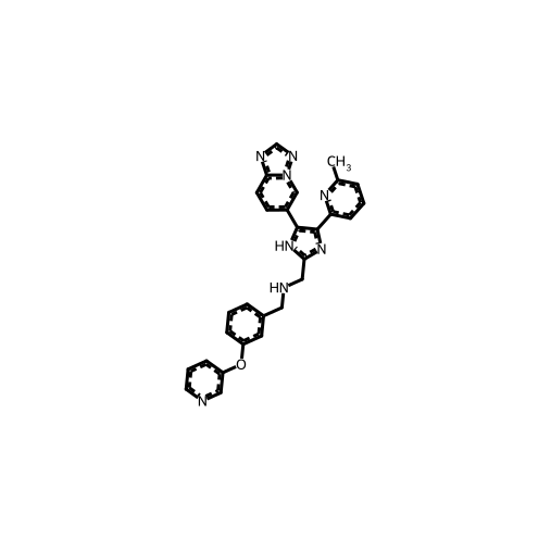 Cc1cccc(-c2nc(CNCc3cccc(Oc4cccnc4)c3)[nH]c2-c2ccc3ncnn3c2)n1